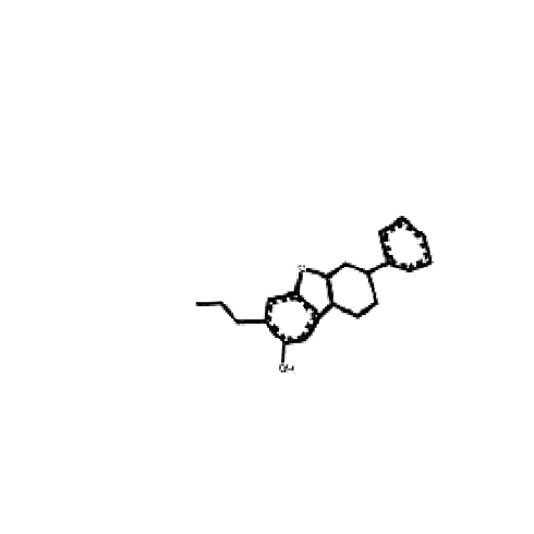 CCCc1cc2c(cc1O)C1CCC(c3ccccc3)CC1O2